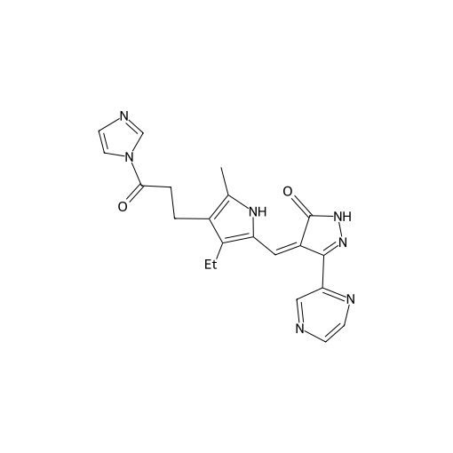 CCc1c(C=C2C(=O)NN=C2c2cnccn2)[nH]c(C)c1CCC(=O)n1ccnc1